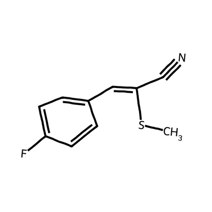 CSC(C#N)=Cc1ccc(F)cc1